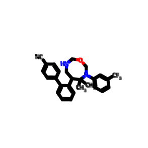 CC1(C)C(c2ccccc2-c2ccc(C#N)cc2)CNCOCN1c1cccc(C(F)(F)F)c1